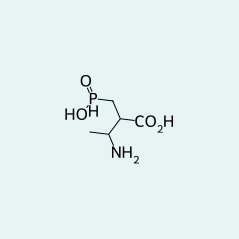 CC(N)C(C[PH](=O)O)C(=O)O